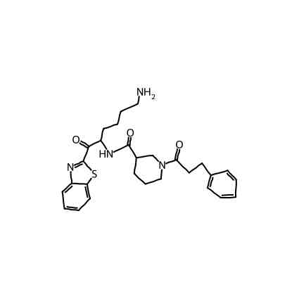 NCCCCC(NC(=O)C1CCCN(C(=O)CCc2ccccc2)C1)C(=O)c1nc2ccccc2s1